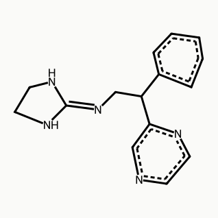 c1ccc(C(CN=C2NCCN2)c2cnccn2)cc1